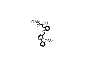 COC(=O)[C@@H](O)Cc1ccccc1OCc1ccnc(-c2ccccc2OC)n1